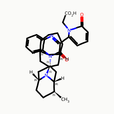 C[C@H]1CC[C@@H]2C[C@H](n3c(=O)c(-c4cccc(=O)n4CC(=O)O)nc4ccccc43)C[C@H]1N2[C@@H]1C[C@@H]2CCCC[C@@H](C2)C1